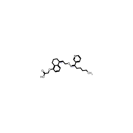 CCCCC/C(=N/OC/C=C1/CCCc2c(OCC(=O)O)cccc21)c1cccnc1